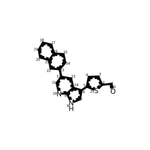 O=Cc1ccc(-c2c[nH]c3ncc(-c4ccc5ccccc5c4)cc23)s1